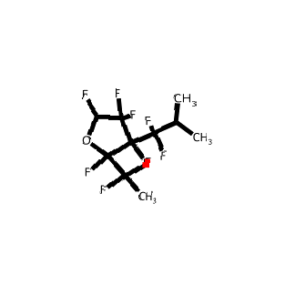 CC(C)C(F)(F)C1(F)C(F)(F)C(F)OC1(F)C(C)(F)F